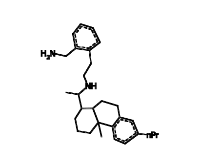 CCCc1ccc2c(c1)CCC1C(C(C)NCCc3ccccc3CN)CCCC21C